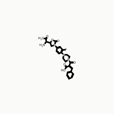 CC(=O)C(N)C1CN(c2ccc(N3CCN(C(=O)/C(=C/c4ccccc4)C(=O)O)CC3)c(F)c2)C(=O)O1